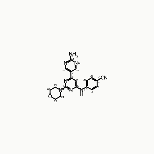 N#Cc1ccc(Nc2cc(-c3cnc(N)nc3)nc(N3CCOCC3)n2)cc1